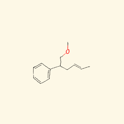 CC=CCC(COC)c1ccccc1